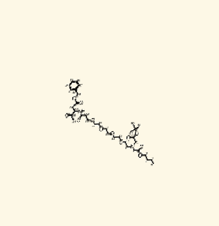 CCCCOC(=O)CN(CCOCCOCCOCCOCCC(=O)NC(CC(=O)OCc1ccccc1)C(C)=O)CC(=O)OC(C)(C)C